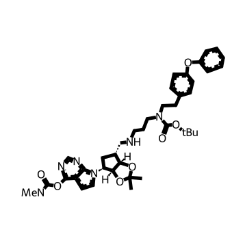 CNC(=O)Oc1ncnc2c1ccn2[C@@H]1C[C@H](CNCCCN(CCc2ccc(Oc3ccccc3)cc2)C(=O)OC(C)(C)C)[C@H]2OC(C)(C)O[C@H]21